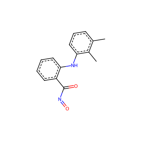 Cc1cccc(Nc2ccccc2C(=O)N=O)c1C